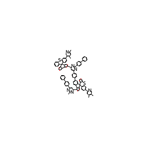 Cc1cc(C)c(-c2ccc3c(c2)Sc2ccccc2C32c3ccccc3-c3cc(-c4cc(-c5ccc(-c6ccc7c(c6)C6(c8ccccc8Sc8cc(-c9cc(C)c(C)cn9)ccc86)c6cccc(-c8cc(-c9ccc(-c%10ccccc%10)cc9)nc(C)n8)c6-7)cc5)nc(-c5ccc(-c6ccccc6)cc5)n4)ccc32)cn1